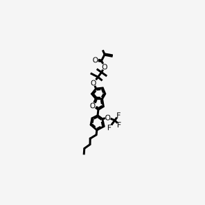 C=C(C)C(=O)OC(C)(C)C(C)(C)Oc1ccc2cc(-c3ccc(CCCCC)cc3OC(F)(F)F)oc2c1